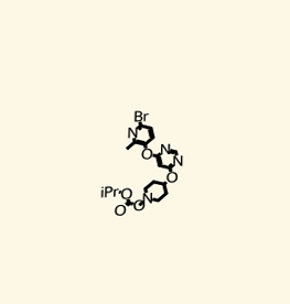 Cc1nc(Br)ccc1Oc1cc(OC2CCN(OC(=O)OC(C)C)CC2)ncn1